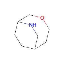 C1CC2CCC(CO1)NC2